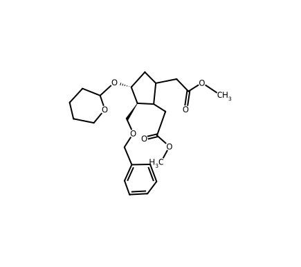 COC(=O)CC1C[C@@H](OC2CCCCO2)[C@H](COCc2ccccc2)C1CC(=O)OC